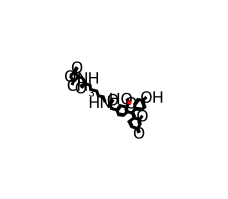 CC1OC(=O)C1NC(=O)CCCCCNC(=O)Cc1ccc(-c2c3ccc(=O)cc-3oc3cc(O)ccc23)c(C(=O)O)c1